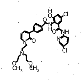 COCCN(CCOC)CCn1cccc(-c2ccc(C(=O)Nc3c(O)cc(Cl)cc3C(=O)Nc3ccc(Cl)cn3)cc2)c1=O